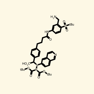 CC(C)(C)OC(=O)N(C(=O)OC(C)(C)C)N(c1ccc2cnccc2c1)C(C(=O)O)c1ccc(CCCC(=O)Nc2ccc(S(=O)(=O)C(C)(C)C)c(CN)c2)cc1